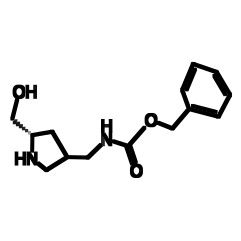 O=C(NCC1CN[C@H](CO)C1)OCc1ccccc1